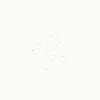 c1ccc(-c2cc(-c3cc(-n4c5ccccc5c5ccccc54)cc4c3sc3ccc5oc6ccccc6c5c34)nc(-c3ccccc3)n2)cc1